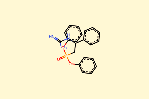 N=C(N)NC(CP(=O)(Oc1ccccc1)Oc1ccccc1)c1ccccc1